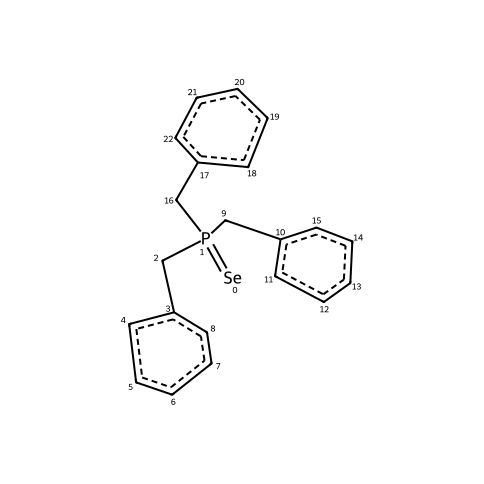 [Se]=P(Cc1ccccc1)(Cc1ccccc1)Cc1ccccc1